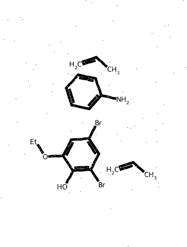 C=CC.C=CC.CCOc1cc(Br)cc(Br)c1O.Nc1ccccc1